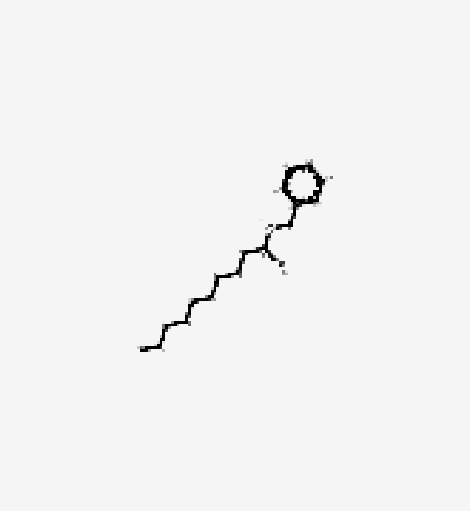 CCCCCCCCCC(Br)OCc1ccccc1